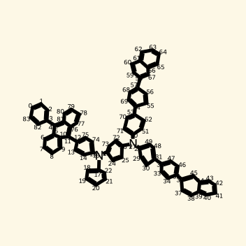 c1ccc(-c2c3ccccc3c(-c3ccc(N(c4ccccc4)c4ccc(N(c5ccc(-c6ccc(-c7ccc8ccccc8c7)cc6)cc5)c5ccc(-c6ccc(-c7ccc8ccccc8c7)cc6)cc5)cc4)cc3)c3ccccc23)cc1